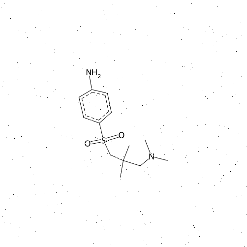 CN(C)CC(C)(C)CS(=O)(=O)c1ccc(N)cc1